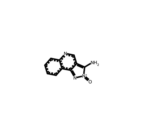 NC1=c2cnc3ccccc3c2=N[N+]1=O